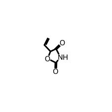 C=CC1OC(=O)NC1=O